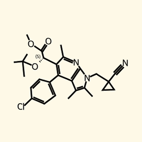 COC(=O)[C@@H](OC(C)(C)C)c1c(C)nc2c(c(C)c(C)n2CC2(C#N)CC2)c1-c1ccc(Cl)cc1